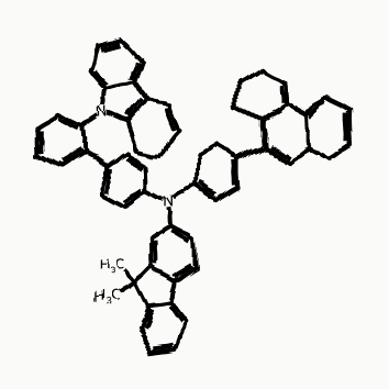 CC1(C)c2ccccc2-c2ccc(N(C3=CC=C(C4=CC5CC=CC=C5C5=CCCCC45)CC3)c3ccc(-c4ccccc4-n4c5c(c6ccccc64)C=CCC5)cc3)cc21